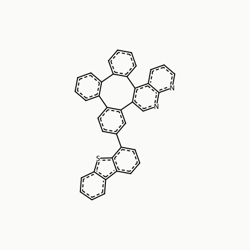 c1ccc2c(c1)-c1ccc(-c3cccc4c3sc3ccccc34)cc1-c1cnc3ncccc3c1-c1ccccc1-2